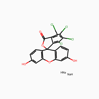 O=C1OC2(c3ccc(O)cc3Oc3cc(O)ccc32)c2c(Cl)c(Cl)c(Cl)c(Cl)c21.[NaH].[NaH]